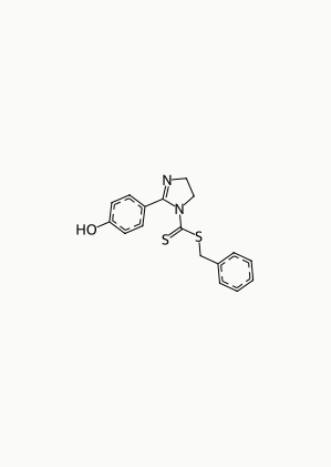 Oc1ccc(C2=NCCN2C(=S)SCc2ccccc2)cc1